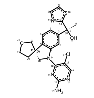 C[C@](O)(c1ccc2c(c1)N(c1nc(N)ncc1Cl)C[C@@]21CCOC1)c1nccs1